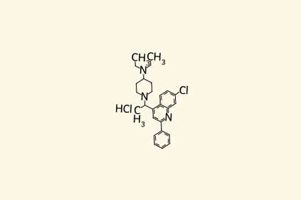 CCN(CC)C1CCN(C(C)c2cc(-c3ccccc3)nc3cc(Cl)ccc23)CC1.Cl